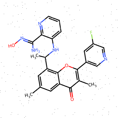 Cc1cc(C(C)Nc2cccnc2C(N)=NO)c2oc(-c3cncc(F)c3)c(C)c(=O)c2c1